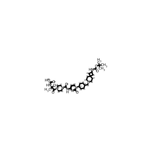 CC(C)(C)OC(=O)NC1CC2(CCN(CC3CCC(n4ccc(NC(=O)N5CCN(C(=O)C(C)(C)NC(=O)O)CC5)nc4=O)CC3)CC2)C1